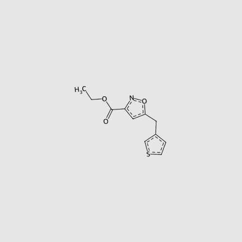 CCOC(=O)c1cc(Cc2ccsc2)on1